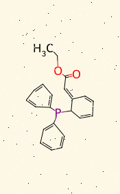 CCOC(=O)C=C1C=CC=CC1P(c1ccccc1)c1ccccc1